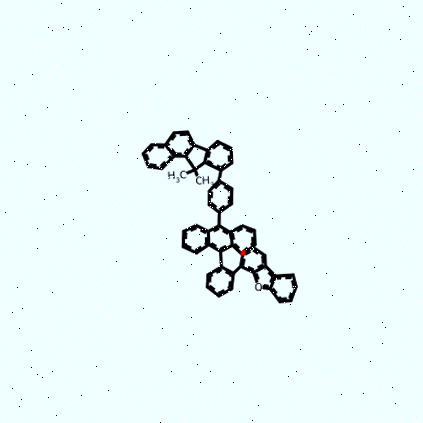 CC1(C)c2c(-c3ccc(-c4c5ccccc5c(-c5ccccc5-c5cccc6c5oc5ccccc56)c5ccccc45)cc3)cccc2-c2ccc3ccccc3c21